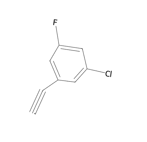 [C]#Cc1cc(F)cc(Cl)c1